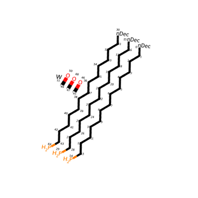 CCCCCCCCCCCCCCCCCCCCCCCP.CCCCCCCCCCCCCCCCCCCCCCCP.CCCCCCCCCCCCCCCCCCCCCCCP.[C]=O.[C]=O.[C]=O.[W]